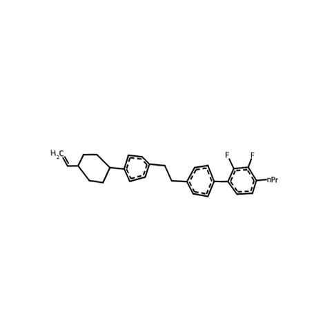 C=CC1CCC(c2ccc(CCc3ccc(-c4ccc(CCC)c(F)c4F)cc3)cc2)CC1